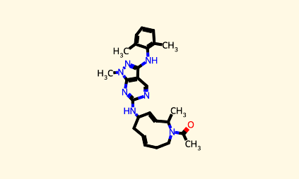 CC(=O)N1CC/C=C/CC(Nc2ncc3c(Nc4c(C)cccc4C)nn(C)c3n2)/C=C/C1C